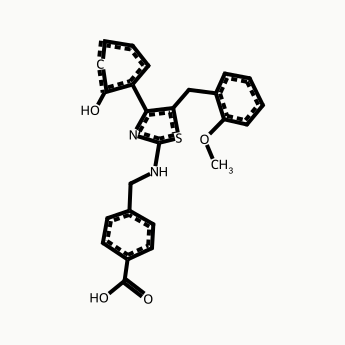 COc1ccccc1Cc1sc(NCc2ccc(C(=O)O)cc2)nc1-c1ccccc1O